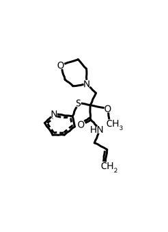 C=CCNC(=O)C(CN1CCOCC1)(OC)Sc1ccccn1